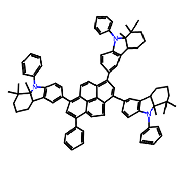 CC1(C)CCCC2c3cc(-c4cc(-c5ccccc5)c5ccc6c(-c7ccc8c(c7)C7CCCC(C)(C)C7(C)N8c7ccccc7)cc(-c7ccc8c(c7)C7CCCC(C)(C)C7(C)N8c7ccccc7)c7ccc4c5c67)ccc3N(c3ccccc3)C21C